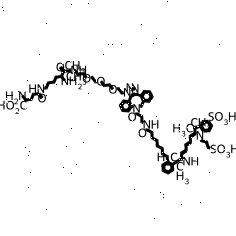 CC(C)(NCCOCCOCCOCCn1nnc2c1-c1ccccc1N(C(=O)CCNC(=O)CCCCCCCc1ccccc1C(C)(C)C(=N)/C=C/C=C/C=C1\N(CCCS(=O)(=O)O)c3ccc(S(=O)(=O)O)cc3C1(C)C)Cc1ccccc1-2)C(=O)C(N)CCCCNC(=O)CC[C@H](N)C(=O)O